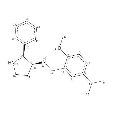 COc1ccc(C(C)C)cc1CN[C@H]1CCN[C@H]1c1ccccc1